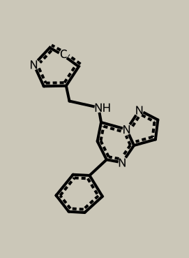 c1ccc(-c2cc(NCc3cccnc3)n3nccc3n2)cc1